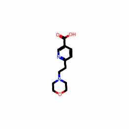 O=C(O)c1ccc(CCN2CCOCC2)nc1